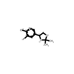 CC1(C)OCC(c2cnc(Cl)c(F)c2)O1